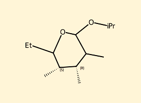 CCC1OC(OC(C)C)C(C)[C@H](C)[C@@H]1C